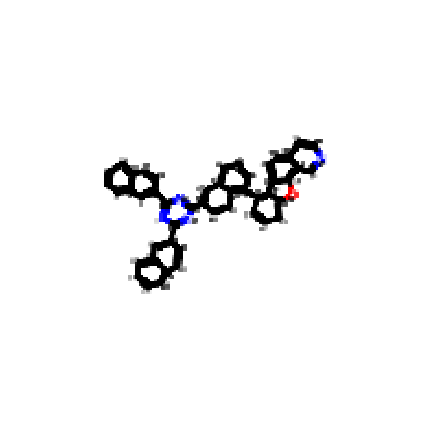 c1ccc2cc(-c3nc(-c4ccc5ccccc5c4)nc(-c4ccc5c(-c6cccc7oc8c9cnccc9ccc8c67)cccc5c4)n3)ccc2c1